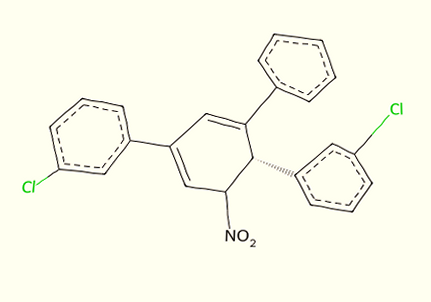 O=[N+]([O-])C1C=C(c2cccc(Cl)c2)C=C(c2ccccc2)[C@@H]1c1cccc(Cl)c1